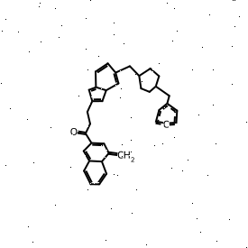 C=C1C=C(C(=O)CCC2=CC3C=C(CC4CCC(Cc5ccccc5)CC4)C=CC3=C2)C=C2C=CC=CC12